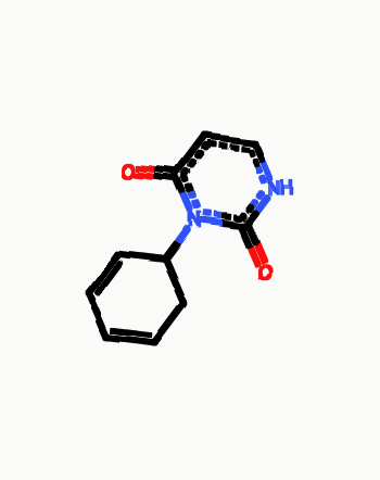 O=c1cc[nH]c(=O)n1C1C=CC=CC1